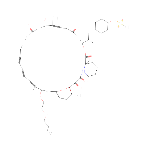 COCCOCCOC1C[C@@H]2CC[C@@H](C)[C@@](O)(O2)C(=O)C(=O)N2CCCC[C@H]2C(=O)O[C@H]([C@H](C)C[C@H]2CC[C@H](OS(=O)(=O)C(F)(F)F)CC2)CC(=O)C/C=C(\C)[C@@H](O)CC(=O)CCC/C=C/C=C/C=C/1C